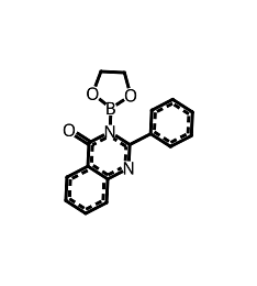 O=c1c2ccccc2nc(-c2ccccc2)n1B1OCCO1